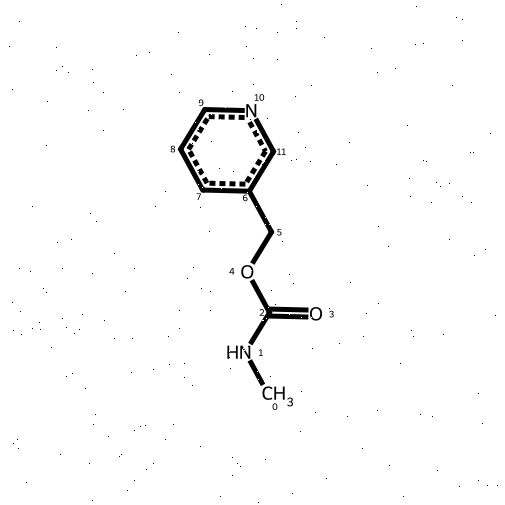 CNC(=O)OCc1cccnc1